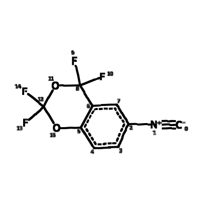 [C-]#[N+]c1ccc2c(c1)C(F)(F)OC(F)(F)O2